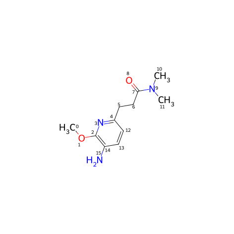 COc1nc(CCC(=O)N(C)C)ccc1N